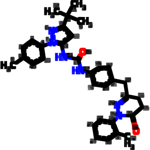 Cc1ccc(-n2nc(C(C)(C)C)cc2NC(=O)Nc2ccc(CC3=NN(c4ccccc4C)C(=O)CC3)cc2)cc1